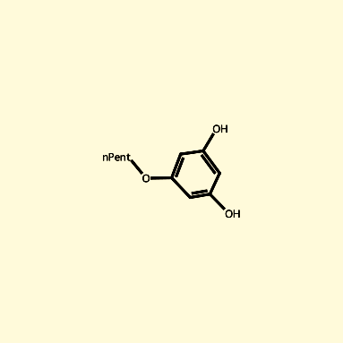 CCCCCOc1cc(O)cc(O)c1